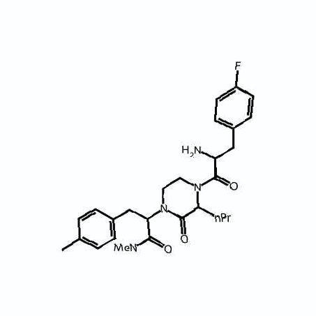 CCCC1C(=O)N(C(Cc2ccc(C)cc2)C(=O)NC)CCN1C(=O)C(N)Cc1ccc(F)cc1